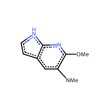 CNc1cc2cc[nH]c2nc1OC